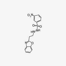 O=[N+]([O-])c1cccc(S(=O)(=O)NNCCc2nc3ccccc3o2)c1